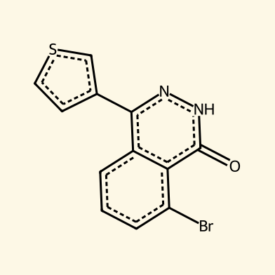 O=c1[nH]nc(-c2ccsc2)c2cccc(Br)c12